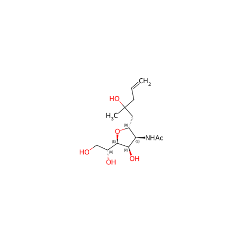 C=CCC(C)(O)C[C@H]1O[C@H]([C@H](O)CO)[C@H](O)[C@@H]1NC(C)=O